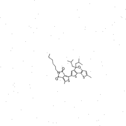 CCCCCCN1C(=O)c2c(C)sc(-c3cc4c(s3)-c3sc(C)cc3OC4(CC(C)C)CC(C)C)c2C1=O